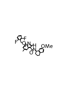 COc1ccc2c(c1)C(NC(=O)c1c(C)nn3c(OCc4c(F)cccc4F)cc(C)cc13)CCC2